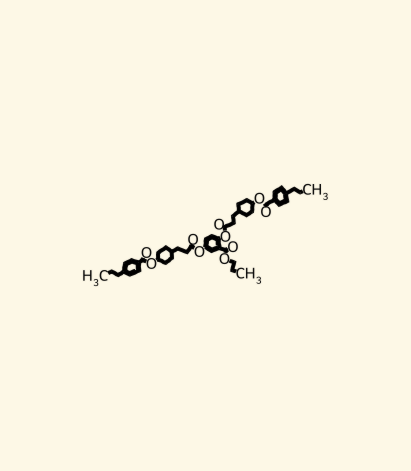 CCCOC(=O)c1cc(OC(=O)CCC2CCC(OC(=O)c3ccc(CCC)cc3)CC2)ccc1OC(=O)CCC1CCC(OC(=O)c2ccc(CCC)cc2)CC1